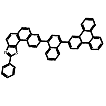 c1ccc(-c2nc3ccc4ccc5cc(-c6ccc(-c7ccc8c9ccccc9c9ccccc9c8c7)c7ccccc67)ccc5c4c3s2)cc1